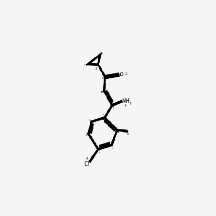 Cc1cc(Cl)ccc1C(N)=CC(=O)C1CC1